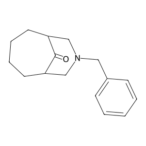 O=C1C2CCCCC1CN(Cc1ccccc1)C2